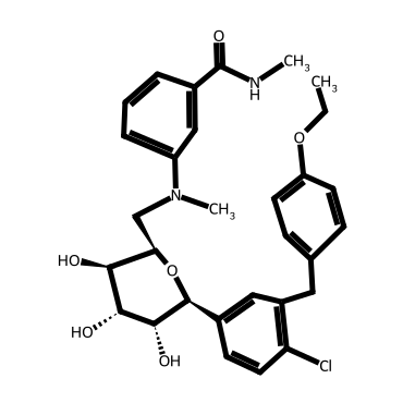 CCOc1ccc(Cc2cc([C@@H]3O[C@H](CN(C)c4cccc(C(=O)NC)c4)[C@H](O)[C@@H](O)[C@H]3O)ccc2Cl)cc1